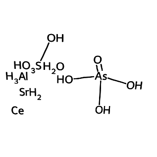 O.O=S(=O)(O)O.O=[As](O)(O)O.[AlH3].[Ce].[SrH2]